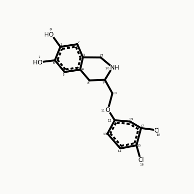 Oc1cc2c(cc1O)CC(COc1ccc(Cl)c(Cl)c1)NC2